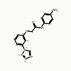 Nc1ccc(NC(=O)COc2cccc(-n3cnnn3)c2)cc1